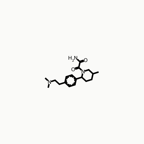 CC1CCC(c2ccc(CCN(C)C)cc2)N(C(=O)C(N)=O)C1